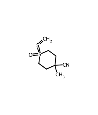 C=S=S1(=O)CCC(C)(C#N)CC1